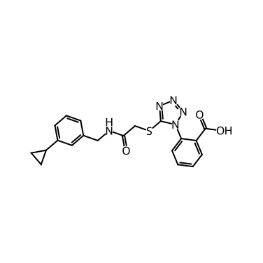 O=C(CSc1nnnn1-c1ccccc1C(=O)O)NCc1cccc(C2CC2)c1